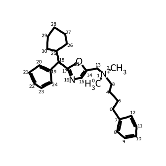 C[N+](C)(CCCCc1ccccc1)Cc1cnc(C(c2ccccc2)C2CCCCC2)o1